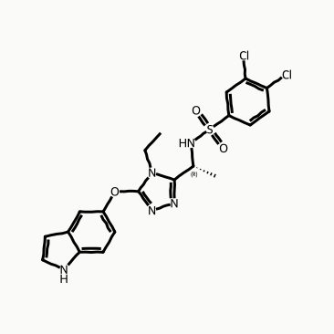 CCn1c(Oc2ccc3[nH]ccc3c2)nnc1[C@@H](C)NS(=O)(=O)c1ccc(Cl)c(Cl)c1